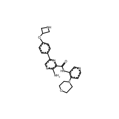 Nc1ncc(-c2ccc(OC3CNC3)cc2)nc1C(=O)Nc1cnccc1N1CCOCC1